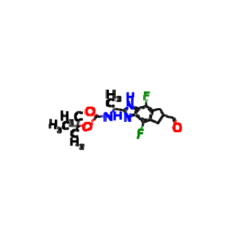 C[C@@H](NC(=O)OC(C)(C)C)c1nc2c(F)c3c(c(F)c2[nH]1)CC(C=O)C3